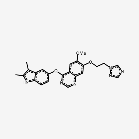 COc1cc2c(Oc3ccc4[nH]c(C)c(C)c4c3)ncnc2cc1OCCn1cncn1